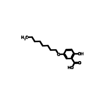 CCCCCCCCOc1ccc(O)c(C(=O)O)c1